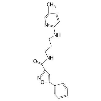 Cc1ccc(NCCCNC(=O)c2cc(-c3ccccc3)on2)nc1